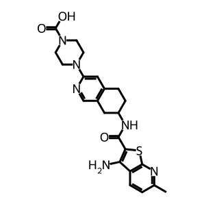 Cc1ccc2c(N)c(C(=O)NC3CCc4cc(N5CCN(C(=O)O)CC5)ncc4C3)sc2n1